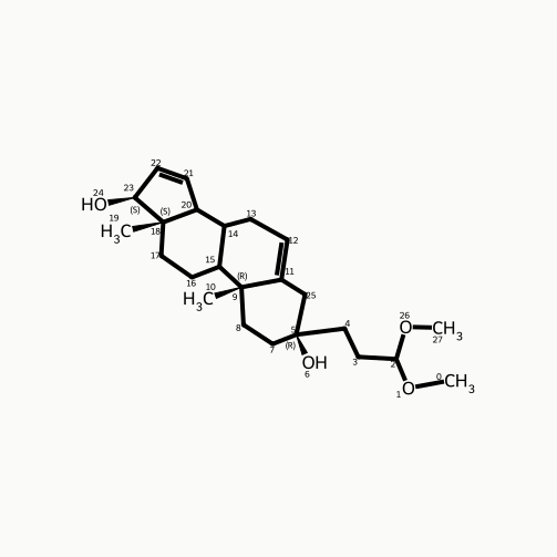 COC(CC[C@]1(O)CC[C@@]2(C)C(=CCC3C2CC[C@@]2(C)C3C=C[C@@H]2O)C1)OC